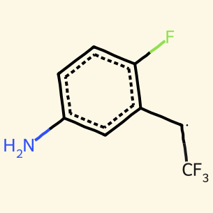 Nc1ccc(F)c([CH]C(F)(F)F)c1